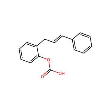 O=C(O)Oc1ccccc1CC=Cc1ccccc1